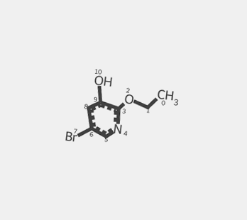 CCOc1ncc(Br)cc1O